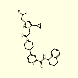 O=C(NC1CCCc2ccccc21)c1cc(C2CCN(C(=O)Cn3nc(CC(F)F)cc3C3CC3)CC2)ccn1